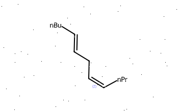 CCC/C=C\CC=CCCCC